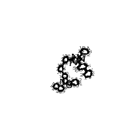 c1ccc(-c2ccc(-c3nc(-c4ccccc4)nc(-c4cccc(-c5cccc(-c6ccc7c(c6)nc(-c6cccc8ccccc68)c6oc8ccccc8c67)c5)c4)n3)cc2)cc1